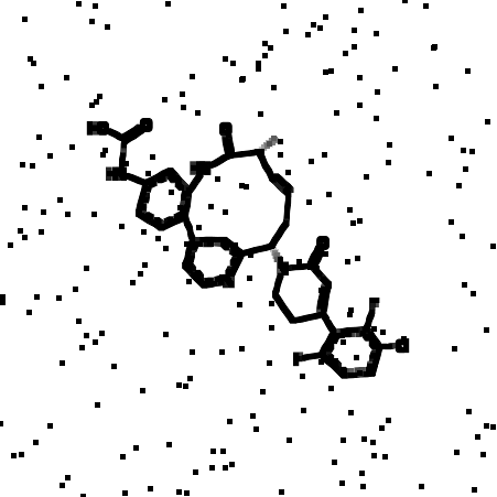 C[C@@H]1C=CC[C@H](N2CCC(c3c(F)ccc(Cl)c3F)=CC2=O)c2cc(ccn2)-c2ccc(NC(=O)O)cc2NC1=O